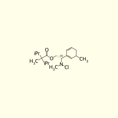 CC1C=C([C@@H](COC(=O)C(C)(C(C)C)C(C)C)N(C)Cl)C=CC1